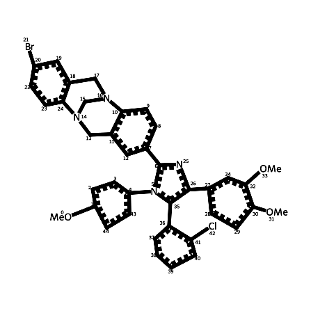 COc1ccc(-n2c(-c3ccc4c(c3)CN3CN4Cc4cc(Br)ccc43)nc(-c3ccc(OC)c(OC)c3)c2-c2ccccc2Cl)cc1